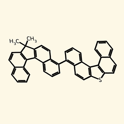 CC1(C)c2ccc3ccccc3c2-c2c1ccc1c(-c3cccc4c3ccc3sc5ccc6ccccc6c5c34)cccc21